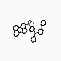 CN(c1ccc(N(c2ccccc2)c2cccc(-c3ccccc3)c2)cc1)c1ccc2c3cccc4cccc(c5cccc1c52)c43